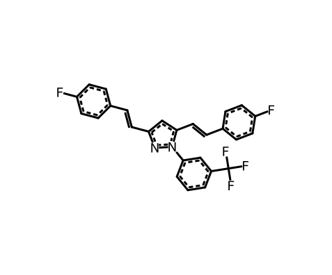 Fc1ccc(C=Cc2cc(C=Cc3ccc(F)cc3)n(-c3cccc(C(F)(F)F)c3)n2)cc1